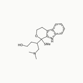 CSC1(C(CCO)CN(C)C)OCCc2c1[nH]c1ccccc21